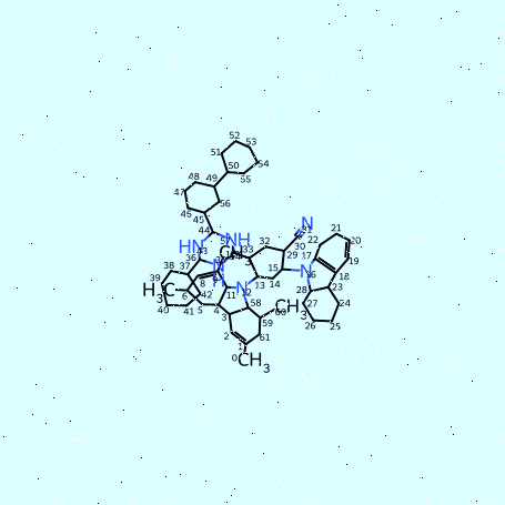 CC1=CC2C3CC(C)C=C(C)C3N(C3CC(N4C5=C(C=CCC5)C5CCCCC54)C(C#N)CC3C3NC(C4CCCCC4)NC(C4CCCC(C5CCCCC5)C4)N3)C2C(C)C1